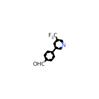 O=Cc1ccc(-c2cncc(C(F)(F)F)c2)cc1